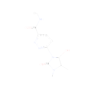 CC1C(O)N(c2ccc(C(=O)NC(C)(C)C)nn2)C(=O)N1C